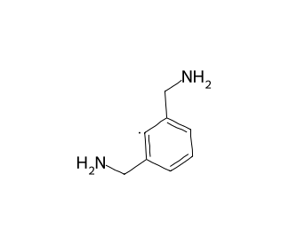 NCc1[c]c(CN)ccc1